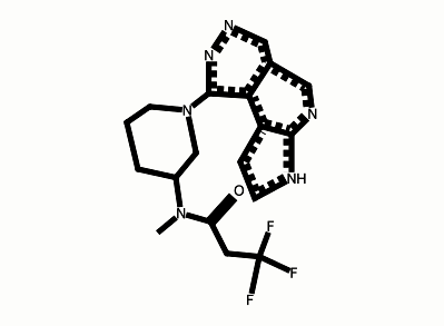 CN(C(=O)CC(F)(F)F)C1CCCN(c2nncc3cnc4[nH]ccc4c23)C1